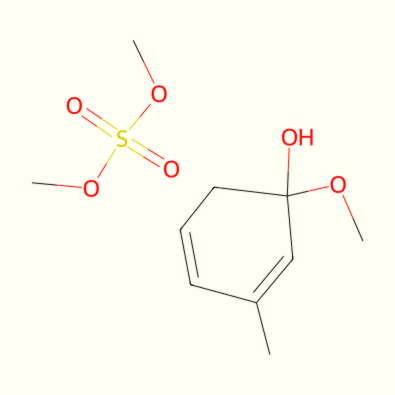 COC1(O)C=C(C)C=CC1.COS(=O)(=O)OC